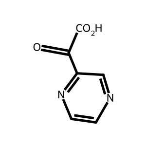 O=C(O)C(=O)c1cnccn1